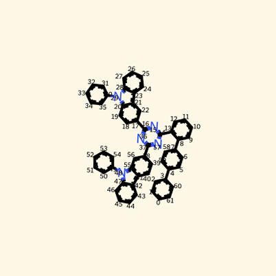 c1ccc(-c2ccc(-c3ccccc3-c3nc(-c4ccc5c(c4)c4ccccc4n5-c4ccccc4)nc(-c4ccc5c6ccccc6n(-c6ccccc6)c5c4)n3)cc2)cc1